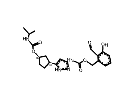 CC(C)NC(=O)O[C@@H]1CC[C@H](c2cc(NC(=O)OCc3cccc(O)c3C=O)n[nH]2)C1